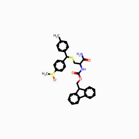 Cc1ccc(C(SCC(NC(=O)OCC2c3ccccc3-c3ccccc32)C(N)=O)c2ccc([S+](C)[O-])cc2)cc1